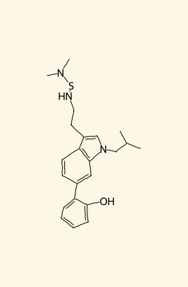 CC(C)Cn1cc(CCNSN(C)C)c2ccc(-c3ccccc3O)cc21